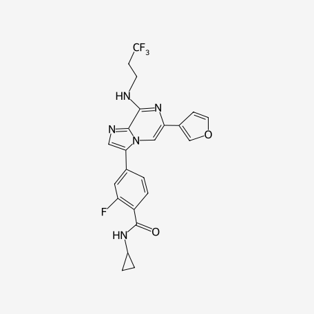 O=C(NC1CC1)c1ccc(-c2cnc3c(NCCC(F)(F)F)nc(-c4ccoc4)cn23)cc1F